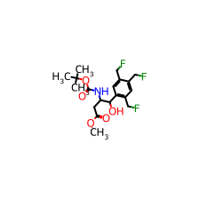 COC(=O)CC(NC(=O)OC(C)(C)C)C(O)c1cc(CF)c(CF)cc1CF